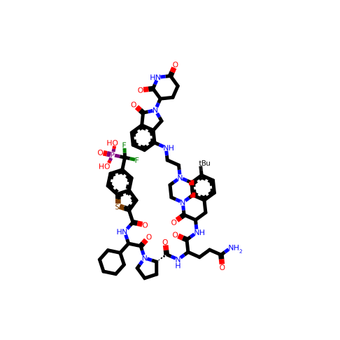 CC(C)(C)c1ccc(CC(NC(=O)C(CCC(N)=O)NC(=O)[C@@H]2CCCN2C(=O)C(NC(=O)c2cc3cc(C(F)(F)P(=O)(O)O)ccc3s2)C2CCCCC2)C(=O)N2CCN(CCNc3cccc4c3CN(C3CCC(=O)NC3=O)C4=O)CC2)cc1